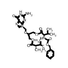 CC(C)[C@H](C)C(=O)OCC(COC(=O)[C@H](NC(=O)OCc1ccccc1)C(C)C)OCn1cnc2c(=O)[nH]c(N)nc21